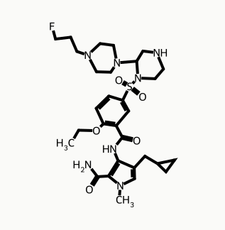 CCOc1ccc(S(=O)(=O)N2CCNCC2N2CCN(CCCF)CC2)cc1C(=O)Nc1c(CC2CC2)cn(C)c1C(N)=O